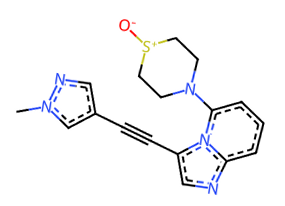 Cn1cc(C#Cc2cnc3cccc(N4CC[S+]([O-])CC4)n23)cn1